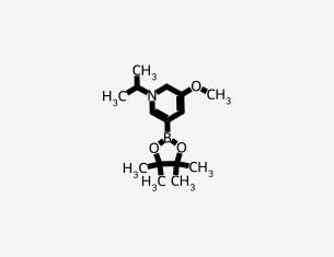 COC1=CC(B2OC(C)(C)C(C)(C)O2)=CN(C(C)C)C1